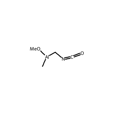 C[O][Al]([CH3])[CH2]N=C=O